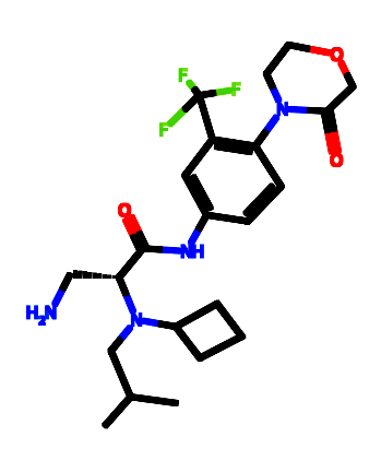 CC(C)CN(C1CCC1)[C@H](CN)C(=O)Nc1ccc(N2CCOCC2=O)c(C(F)(F)F)c1